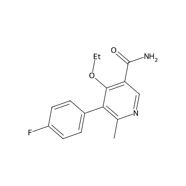 CCOc1c(C(N)=O)cnc(C)c1-c1ccc(F)cc1